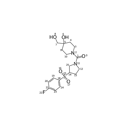 O=C(N1CCC(O)(CO)CC1)N1CCC(S(=O)(=O)c2ccc(F)cc2)C1